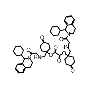 O=C1CCC(CNCC(=O)N2CCc3ccccc3C2C2CCCCC2)(OC(=O)C(=O)OC2(CNCC(=O)N3CCc4ccccc4C3C3CCCCC3)CCC(=O)CC2)CC1